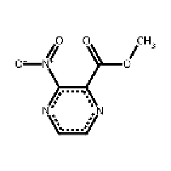 COC(=O)c1nccnc1[N+](=O)[O-]